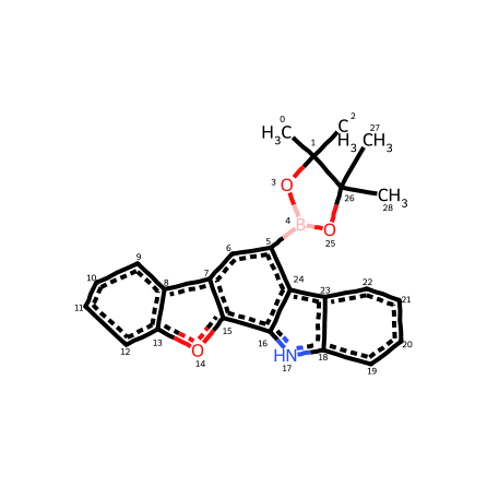 CC1(C)OB(c2cc3c4ccccc4oc3c3[nH]c4ccccc4c23)OC1(C)C